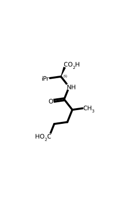 CC(CCC(=O)O)C(=O)N[C@H](C(=O)O)C(C)C